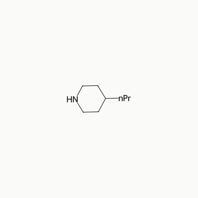 C[CH]CC1CCNCC1